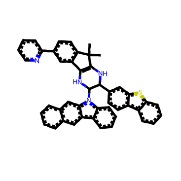 CC1(C)C2=C(NC(n3c4ccccc4c4cc5ccccc5cc43)C(c3ccc4c(c3)sc3ccccc34)N2)c2cc(-c3ccccn3)ccc21